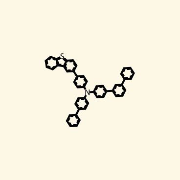 c1ccc(-c2ccc(N(c3ccc(-c4cccc(-c5ccccc5)c4)cc3)c3ccc(-c4ccc5sc6ccccc6c5c4)cc3)cc2)cc1